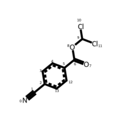 N#Cc1ccc(C(=O)OC(Cl)Cl)cc1